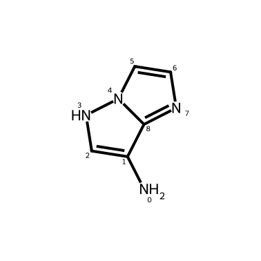 Nc1c[nH]n2ccnc12